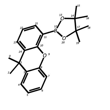 CC1(C)c2ccccc2Oc2c(B3OC(C)(C)C(C)(C)O3)cccc21